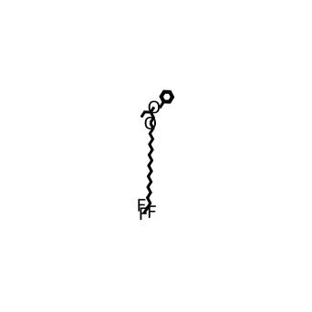 CCC(COCCCCCCCCCCCCCCCC(F)(F)F)OCc1ccccc1